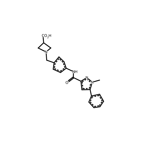 Cn1nc(C(=O)Nc2ccc(CN3CC(C(=O)O)C3)cc2)cc1-c1ccccc1